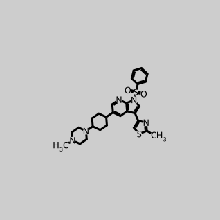 Cc1nc(-c2cn(S(=O)(=O)c3ccccc3)c3ncc(C4CCC(N5CCN(C)CC5)CC4)cc23)cs1